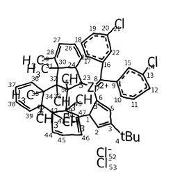 CCC1C=C(C(C)(C)C)C=[C]1[Zr+2](=[C](c1cccc(Cl)c1)c1cccc(Cl)c1)[CH]1C2C=CC=C(C)C2(C)C2(C)C3(C)C=CC=CC3(C)C3(C)C=CC=CC3(C)C12C.[Cl-].[Cl-]